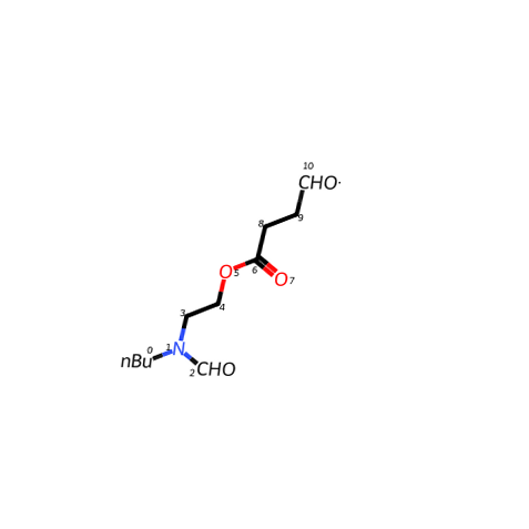 [CH2]CCCN(C=O)CCOC(=O)CC[C]=O